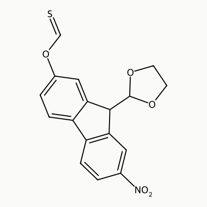 O=[N+]([O-])c1ccc2c(c1)C(C1OCCO1)c1cc(OC=S)ccc1-2